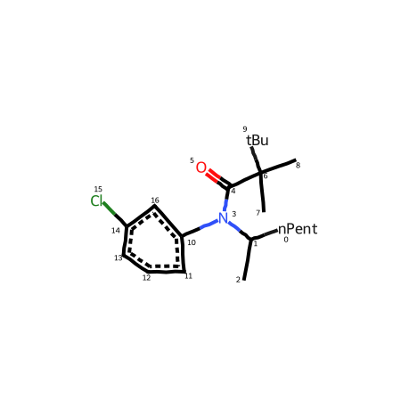 CCCCCC(C)N(C(=O)C(C)(C)C(C)(C)C)c1cccc(Cl)c1